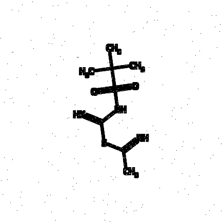 CC(=N)SC(=N)NS(=O)(=O)C(C)(C)C